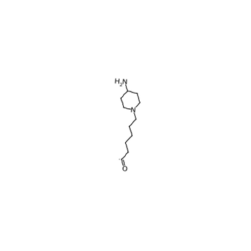 NC1CCN(CCCCC[C]=O)CC1